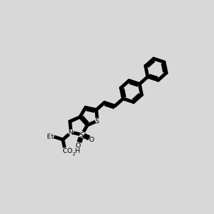 CCC(C(=O)O)N1Cc2cc(C=Cc3ccc(-c4ccccc4)cc3)sc2S1(=O)=O